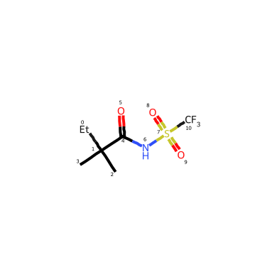 CCC(C)(C)C(=O)NS(=O)(=O)C(F)(F)F